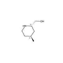 C[C@H]1CCN[C@H](CO)C1